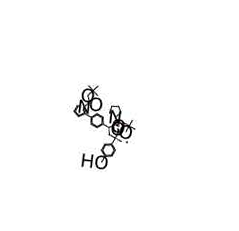 [CH2][C@@](C[C@H](C(=O)N1CCCC1)c1ccc(-c2cccn2C(=O)OC(C)(C)C)cc1)(C(=O)OC(C)(C)C)c1ccc(O)cc1